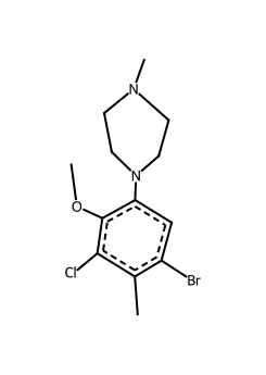 COc1c(N2CCN(C)CC2)cc(Br)c(C)c1Cl